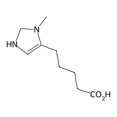 CN1CNC=C1CCCCC(=O)O